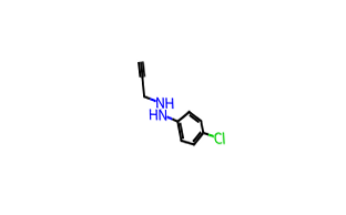 C#CCNNc1ccc(Cl)cc1